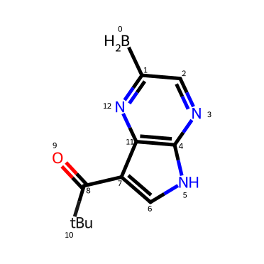 Bc1cnc2[nH]cc(C(=O)C(C)(C)C)c2n1